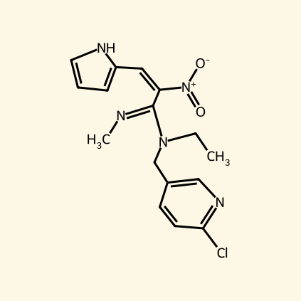 CCN(Cc1ccc(Cl)nc1)C(=N\C)/C(=C\c1ccc[nH]1)[N+](=O)[O-]